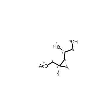 CC(=O)OC[C@]1(C)C[C@H]1[C@H](O)CO